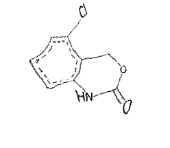 O=C1Nc2cccc(Cl)c2CO1